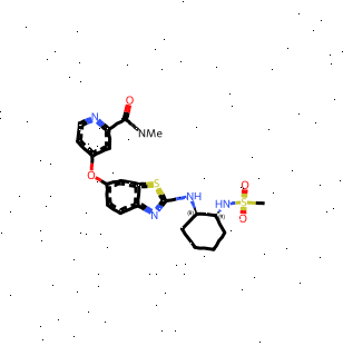 CNC(=O)c1cc(Oc2ccc3nc(N[C@@H]4CCCC[C@H]4NS(C)(=O)=O)sc3c2)ccn1